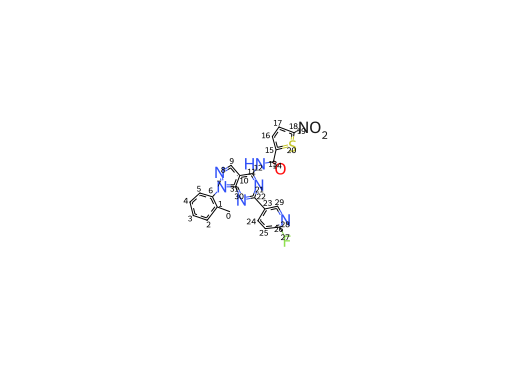 Cc1ccccc1-n1ncc2c(NC(=O)c3ccc([N+](=O)[O-])s3)nc(-c3ccc(F)nc3)nc21